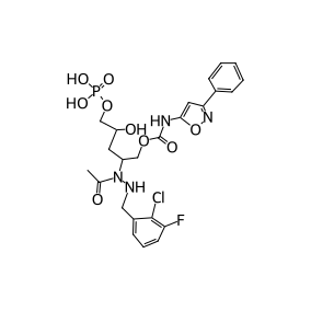 CC(=O)N(NCc1cccc(F)c1Cl)C(COC(=O)Nc1cc(-c2ccccc2)no1)CC(O)COP(=O)(O)O